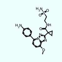 COc1ccc(-c2ccc(N)cc2)n2nc(C3(C(=O)NCCS(N)(=O)=O)CC3)nc12